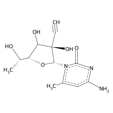 C#C[C@@]1(O)C(O)[C@@H]([C@H](C)O)O[C@H]1n1c(C)cc(N)nc1=O